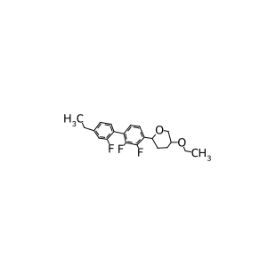 CCOC1CCC(c2ccc(-c3ccc(CC)cc3F)c(F)c2F)OC1